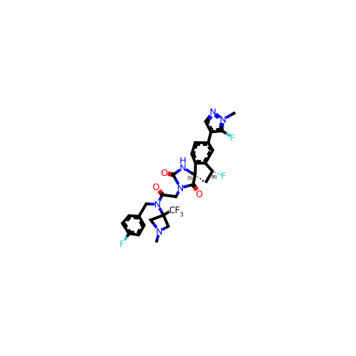 CN1CC(N(Cc2ccc(F)cc2)C(=O)CN2C(=O)N[C@]3(C[C@@H](F)c4cc(-c5cnn(C)c5F)ccc43)C2=O)(C(F)(F)F)C1